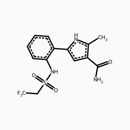 Cc1[nH]c(-c2ccccc2NS(=O)(=O)CC(F)(F)F)cc1C(N)=O